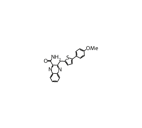 COc1ccc(-c2ccc(Cc3nc4ccccc4nc3C(N)=O)s2)cc1